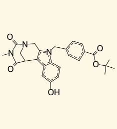 CN1C(=O)C2CN(Cc3c2c2cc(O)ccc2n3Cc2ccc(C(=O)OC(C)(C)C)cc2)C1=O